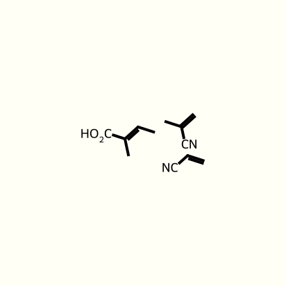 C=C(C)C#N.C=CC#N.CC=C(C)C(=O)O